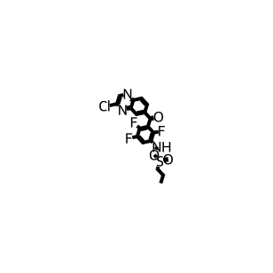 CCCS(=O)ONc1cc(F)c(F)c(C(=O)c2ccc3ncc(Cl)nc3c2)c1F